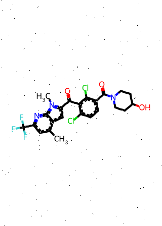 Cc1cc(C(F)(F)F)nc2c1cc(C(=O)c1c(Cl)ccc(C(=O)N3CCC(O)CC3)c1Cl)n2C